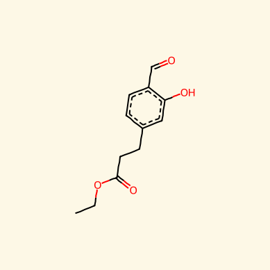 CCOC(=O)CCc1ccc(C=O)c(O)c1